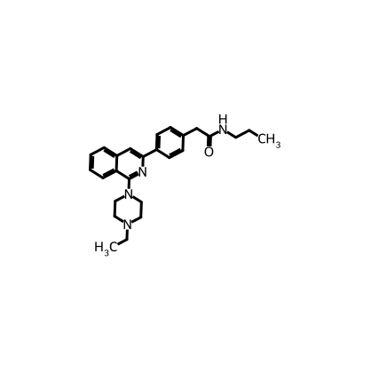 CCCNC(=O)Cc1ccc(-c2cc3ccccc3c(N3CCN(CC)CC3)n2)cc1